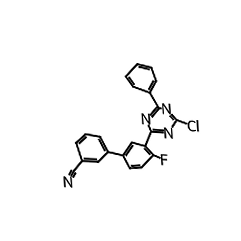 N#Cc1cccc(-c2ccc(F)c(-c3nc(Cl)nc(-c4ccccc4)n3)c2)c1